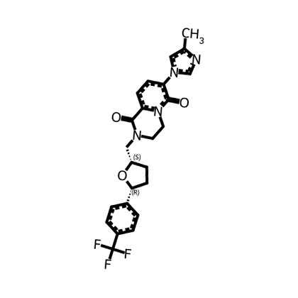 Cc1cn(-c2ccc3n(c2=O)CCN(C[C@@H]2CC[C@H](c4ccc(C(F)(F)F)cc4)O2)C3=O)cn1